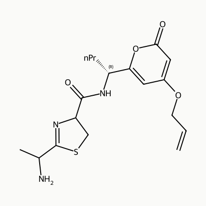 C=CCOc1cc([C@@H](CCC)NC(=O)C2CSC(C(C)N)=N2)oc(=O)c1